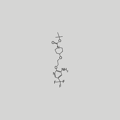 CC(C)(C)OC(=O)N1CCC(OCCOc2ncc(C(F)(F)F)cc2N)CC1